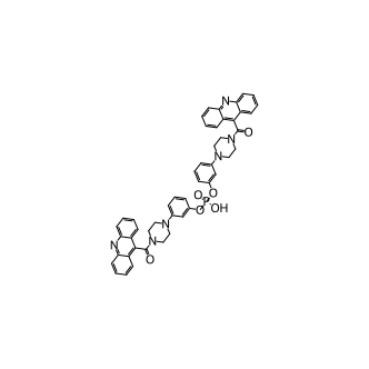 O=C(c1c2ccccc2nc2ccccc12)N1CCN(c2cccc(OP(=O)(O)Oc3cccc(N4CCN(C(=O)c5c6ccccc6nc6ccccc56)CC4)c3)c2)CC1